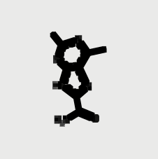 Cc1nc(C)c2nc(C(N)=O)[nH]c2n1